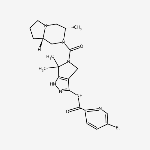 CCc1ccc(C(=O)Nc2n[nH]c3c2CN(C(=O)N2C[C@@H]4CCCN4C[C@@H]2C)C3(C)C)nc1